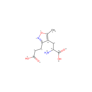 Cc1onc(CCC(=O)O)c1CC(N)C(=O)O